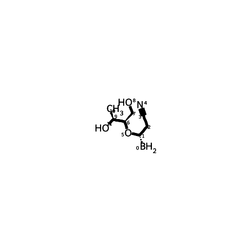 B[C@@H](CC#N)O[C@H](CO)[C@H](C)O